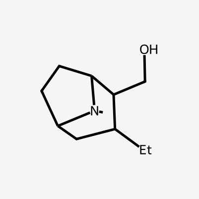 CCC1CC2CCC(C1CO)N2C